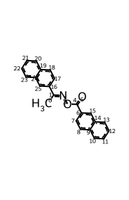 C/C(=N\OC(=O)c1ccc2ccccc2c1)c1ccc2ccccc2c1